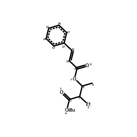 CCC(C(=O)OCC(C)C)C(C)OC(=O)/C=C/c1ccccc1